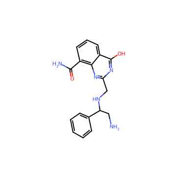 NCC(NCc1nc(O)c2cccc(C(N)=O)c2n1)c1ccccc1